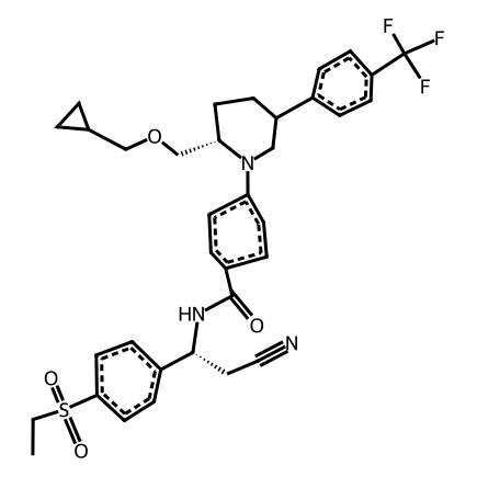 CCS(=O)(=O)c1ccc([C@@H](CC#N)NC(=O)c2ccc(N3CC(c4ccc(C(F)(F)F)cc4)CC[C@H]3COCC3CC3)cc2)cc1